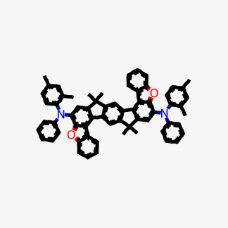 Cc1ccc(N(c2ccccc2)c2cc3c(c4c2oc2ccccc24)-c2cc4c(cc2C3(C)C)-c2c(cc(N(c3ccccc3)c3ccc(C)cc3C)c3oc5ccccc5c23)C4(C)C)c(C)c1